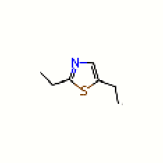 [CH2]Cc1cnc(CC)s1